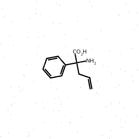 C=CCC(N)(C(=O)O)c1ccccc1